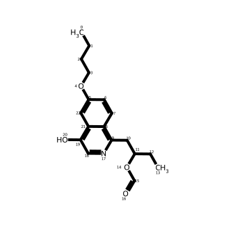 CCCCOc1ccc2c(CC(CC)OC=O)ncc(O)c2c1